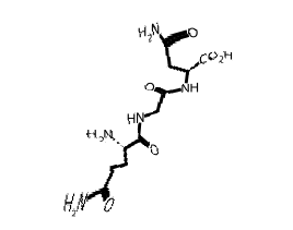 NC(=O)CC[C@H](N)C(=O)NCC(=O)N[C@@H](CC(N)=O)C(=O)O